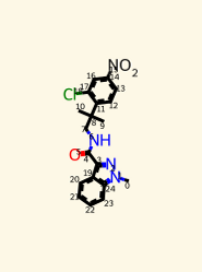 Cn1nc(C(=O)NCC(C)(C)c2ccc([N+](=O)[O-])cc2Cl)c2ccccc21